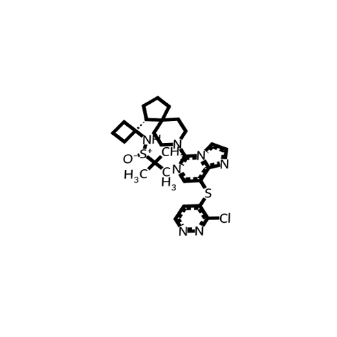 CC(C)(C)[S+]([O-])NC1([C@@H]2CCCC23CCN(c2ncc(Sc4ccnnc4Cl)c4nccn24)CC3)CCC1